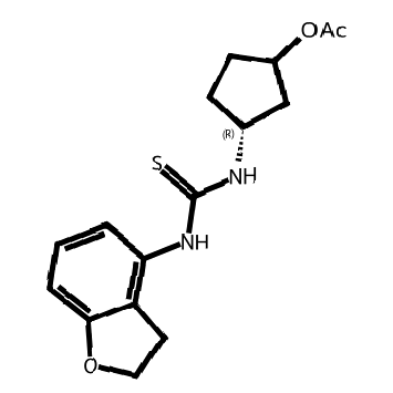 CC(=O)OC1CC[C@@H](NC(=S)Nc2cccc3c2CCO3)C1